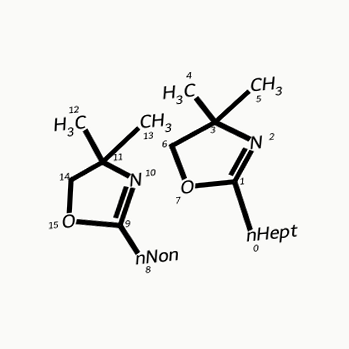 CCCCCCCC1=NC(C)(C)CO1.CCCCCCCCCC1=NC(C)(C)CO1